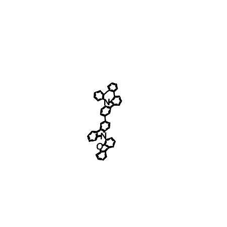 c1ccc2c(c1)-c1ccccc1-n1c3ccc(-c4ccc5c(c4)c4ccccc4n5-c4cccc5c4oc4ccccc45)cc3c3cccc-2c31